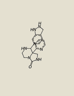 O=C1NCC2(c3ncccn3)C(c3ccc4c(c3)NNC4)NCCN12